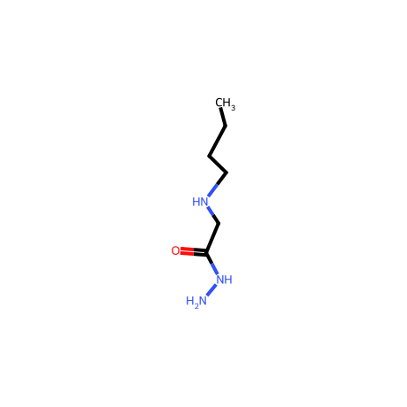 CCCCNCC(=O)NN